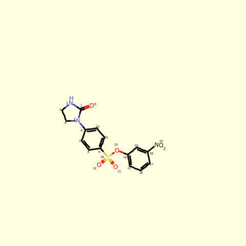 O=C1NCCN1c1ccc(S(=O)(=O)Oc2cccc([N+](=O)[O-])c2)cc1